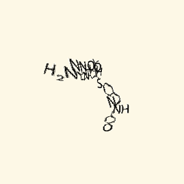 COc1ccc(CNc2ccc3ccc(SCC4=C[C@@H](n5ccc6c(N)ncnc65)[C@@H]5OC(C)(C)O[C@H]45)cc3n2)cc1